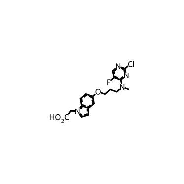 CN(CCCOc1ccc2c(ccn2CC(=O)O)c1)c1nc(Cl)ncc1F